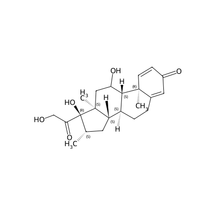 C[C@H]1C[C@H]2[C@@H]3CCC4=CC(=O)C=C[C@]4(C)[C@H]3C(O)C[C@]2(C)[C@@]1(O)C(=O)CO